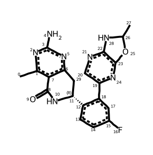 Cc1nc(N)nc2c1C(=O)N[C@@H](c1ccc(F)cc1-c1cnc3c(n1)OC(C)N3)C2